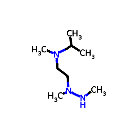 CNN(C)CCN(C)C(C)C